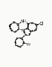 Nc1ccccc1-n1c(-c2ccccc2Br)cc2cc(Cl)ccc21